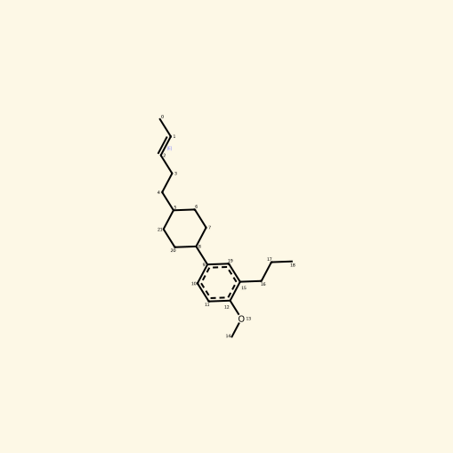 C/C=C/CCC1CCC(c2ccc(OC)c(CCC)c2)CC1